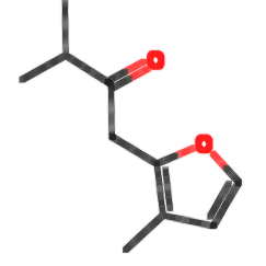 Cc1ccoc1CC(=O)C(C)C